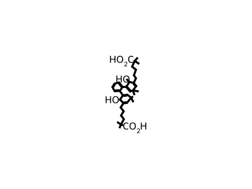 CC1(C)C=C(CCCCC(C)(C)C(=O)O)C(O)C(c2ccccc2C2=CC(C)(C)C=C(CCCCC(C)(C)C(=O)O)C2O)=C1